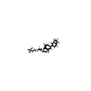 C[Si](C)(C)CCOCn1cnc2cc(-c3ccc4ccnn4c3)ccc21